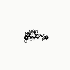 COc1ccc2ncc(Cl)c(C(O)CCC3CCN(CCSc4sccc4F)CC3CC(=O)O)c2c1